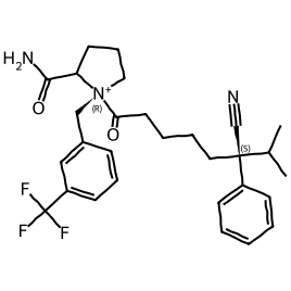 CC(C)[C@@](C#N)(CCCCC(=O)[N@@+]1(Cc2cccc(C(F)(F)F)c2)CCCC1C(N)=O)c1ccccc1